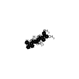 Cc1ccc2c(c1)c1cc(C)ccc1n2-c1cc2c(c3ccccc13)-c1cc3c(cc1C2(C)C)-c1cc2c(cc1C3(C)C)-c1c(cc(N(c3ccccc3)c3ccccc3)c3ccccc13)C2(C)C